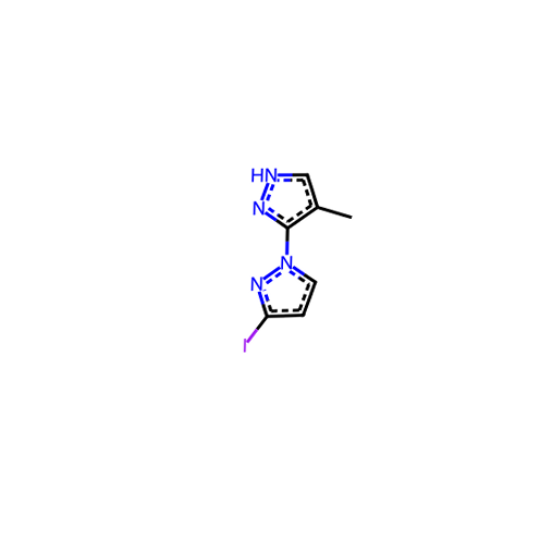 Cc1c[nH]nc1-n1ccc(I)n1